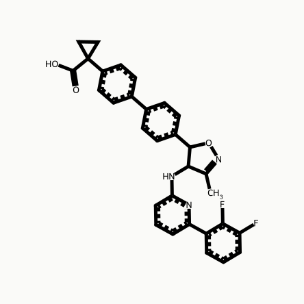 CC1=NOC(c2ccc(-c3ccc(C4(C(=O)O)CC4)cc3)cc2)C1Nc1cccc(-c2cccc(F)c2F)n1